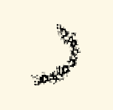 CC1(C)[C@H](NC(=O)c2ccc(N3CC=C(CN4CCN(c5ccc6c(c5)C(=O)N(C5CCC(=O)NC5=O)C6=O)CC4)CC3)cc2)C(C)(C)[C@H]1Oc1ccc(C#N)c(Cl)c1